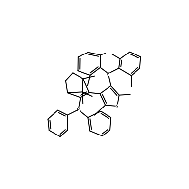 Cc1cccc(C)c1P(c1c(C)cccc1C)c1c(C)sc(C)c1C1=C(P(c2ccccc2)c2ccccc2)C2CCC1(C)C2(C)C